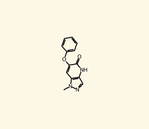 Cn1ncc2[nH]c(=O)c(Oc3ccccc3)cc21